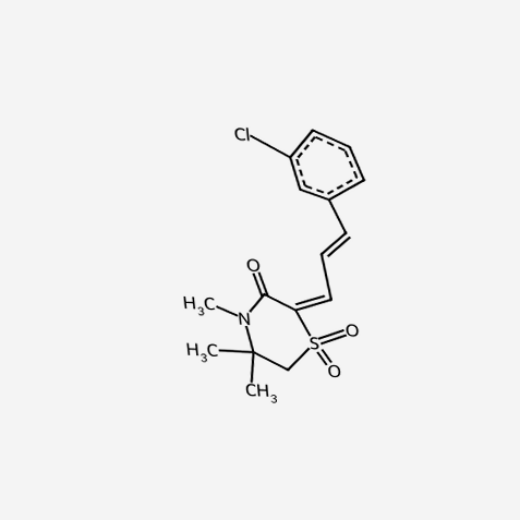 CN1C(=O)/C(=C\C=C\c2cccc(Cl)c2)S(=O)(=O)CC1(C)C